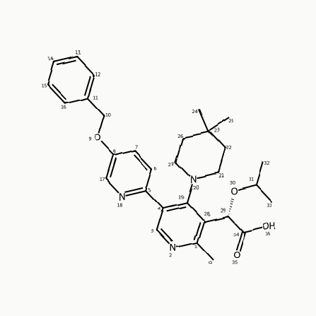 Cc1ncc(-c2ccc(OCc3ccccc3)cn2)c(N2CCC(C)(C)CC2)c1[C@H](OC(C)C)C(=O)O